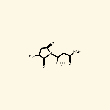 CNC(=O)CC(C(=O)O)N1C(=O)CC(C)C1=O